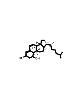 CC(C)CCC[C@@H](C)[C@H]1CC[C@H]2[C@@H]3C=CC4=CC(O)CC(O)[C@]4(C)[C@H]3CC[C@]12C